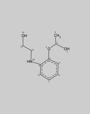 CC(O)Oc1ccccc1NCCO